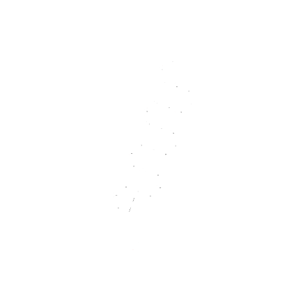 C=C=C(OCCCCO)O[Si](C)(C)O[Si](C)(C)O[Si](C)(C)O[Si](C)(C)O[Si](C)(C)O[Si](C)(C)O[Si](C)(C)O[Si](C)(C)O[Si](C)(C)O[Si](C)(C)O[Si](C)(C)O[Si](C)(C)O[Si](C)(C)O[Si](C)(C)O[Si](C)(C)O[Si](C)(C)O[Si](C)(C)O[Si](C)(C)O[Si](C)(C)O[Si](C)(C)O[Si](C)(C)O[Si](C)(C)O[Si](C)(C)O[Si](C)(C)O[Si](C)(C)O[Si](C)(C)O[Si](C)(C)C